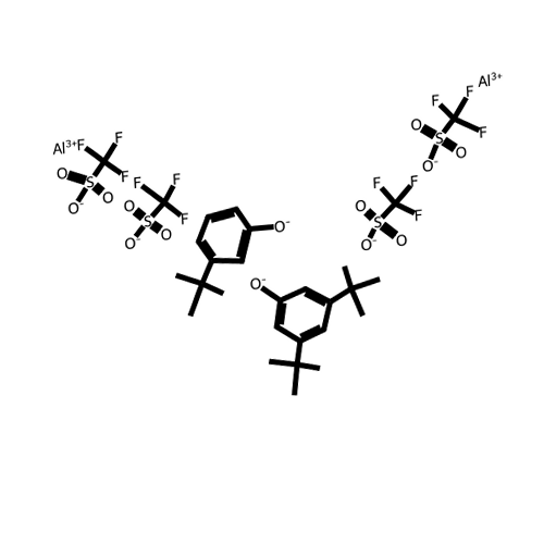 CC(C)(C)c1cc([O-])cc(C(C)(C)C)c1.CC(C)(C)c1cccc([O-])c1.O=S(=O)([O-])C(F)(F)F.O=S(=O)([O-])C(F)(F)F.O=S(=O)([O-])C(F)(F)F.O=S(=O)([O-])C(F)(F)F.[Al+3].[Al+3]